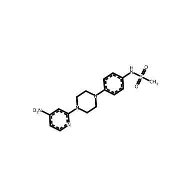 CS(=O)(=O)Nc1ccc(N2CCN(c3cc([N+](=O)[O-])ccn3)CC2)cc1